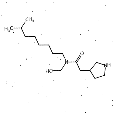 CC(C)CCCCCCN(CO)C(=O)CC1CCNC1